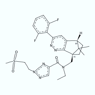 CCN(C[C@@]12CC[C@@H](c3cc(-c4c(F)cccc4F)nnc31)C2(C)C)C(=O)c1cnn(CCS(C)(=O)=O)n1